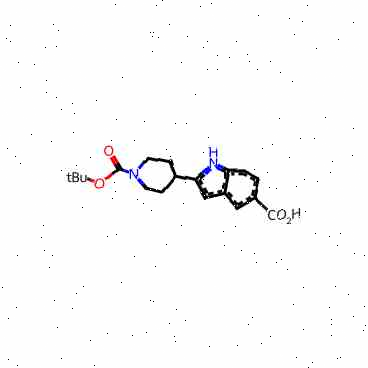 CC(C)(C)OC(=O)N1CCC(c2cc3cc(C(=O)O)ccc3[nH]2)CC1